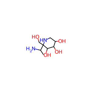 CC(N)C1(CO)NCC(O)C(O)C1O